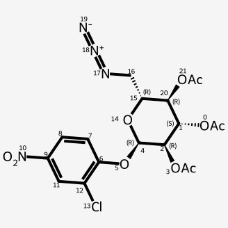 CC(=O)O[C@@H]1[C@@H](OC(C)=O)[C@@H](Oc2ccc([N+](=O)[O-])cc2Cl)O[C@H](CN=[N+]=[N-])[C@H]1OC(C)=O